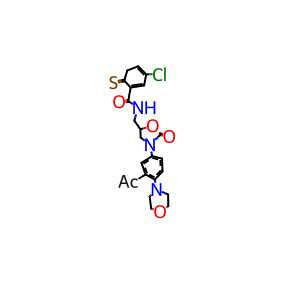 CC(=O)c1cc(N2CC(CNC(=O)C3=CC(Cl)=CCC3=S)OC2=O)ccc1N1CCOCC1